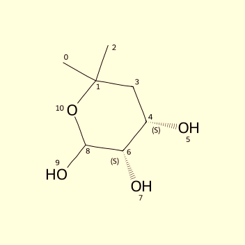 CC1(C)C[C@H](O)[C@H](O)C(O)O1